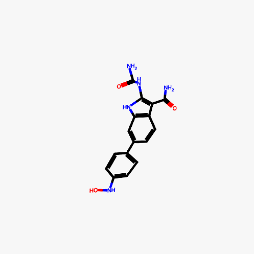 NC(=O)Nc1[nH]c2cc(-c3ccc(NO)cc3)ccc2c1C(N)=O